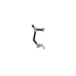 BCN(C)F